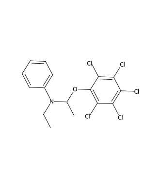 CCN(c1ccccc1)C(C)Oc1c(Cl)c(Cl)c(Cl)c(Cl)c1Cl